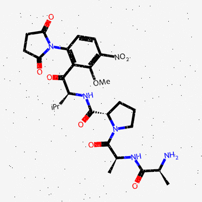 COc1c([N+](=O)[O-])ccc(N2C(=O)CCC2=O)c1C(=O)[C@@H](NC(=O)[C@@H]1CCCN1C(=O)[C@H](C)NC(=O)[C@H](C)N)C(C)C